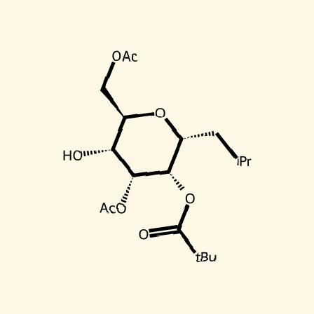 CC(=O)OC[C@H]1O[C@H](CC(C)C)[C@H](OC(=O)C(C)(C)C)[C@H](OC(C)=O)[C@@H]1O